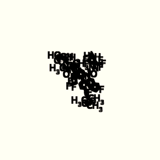 CC(CN(C)C(=O)N(c1nn(CC(F)(F)F)c2c(-c3ccc(C#CC(C)(C)S(C)(=O)=O)nc3C(Cc3cc(F)cc(F)c3)NC(=O)Cn3nc(C(F)(F)F)c4c3C(F)(F)[C@@H]3C[C@H]43)ccc(Cl)c12)S(C)(=O)=O)OP(=O)(O)O